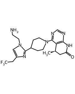 C[C@@H]1CC(=O)Nc2ncnc(N3CCC(c4nc(CC(F)(F)F)cn4CCN)CC3)c21